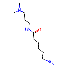 CN(C)CCCNC(=O)CCCCCN